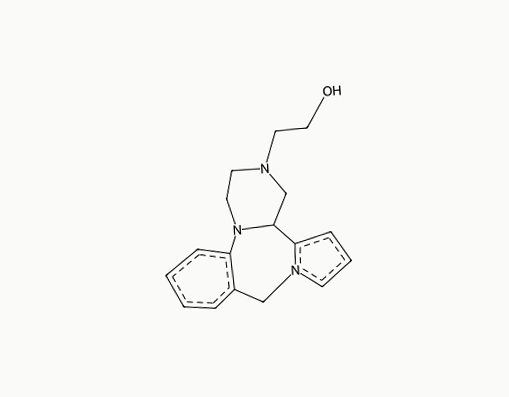 OCCN1CCN2c3ccccc3Cn3cccc3C2C1